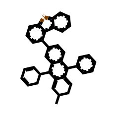 CC1C=c2c(C3C=CC=CC3)c3cc(-c4cccc5sc6ccccc6c45)ccc3c(-c3ccccc3)c2=CC1